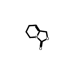 O=C1OCC2=[C]CCCN12